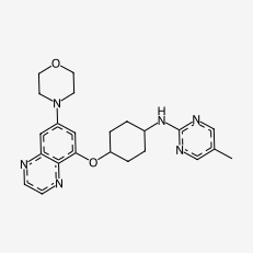 Cc1cnc(NC2CCC(Oc3cc(N4CCOCC4)cc4nccnc34)CC2)nc1